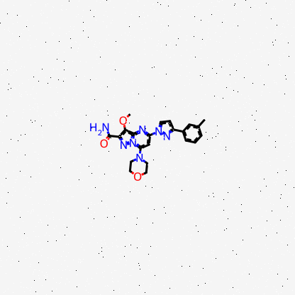 COc1c(C(N)=O)nn2c(N3CCOCC3)cc(-n3ccc(-c4cccc(C)c4)n3)nc12